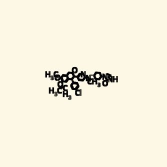 COc1cc2c(cc1OC(C)C)[C@H](c1ccc(Cl)cc1)C(c1ccc(N(C)C[C@H]3CC[C@H](N4CCNC4=O)CC3)nc1)C(=O)C2